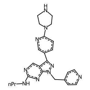 CCCNc1ncc2c(-c3ccc(N4CCNCC4)nc3)nn(Cc3ccncc3)c2n1